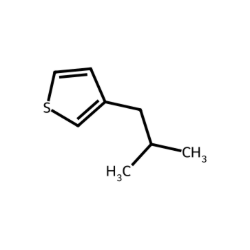 CC(C)Cc1ccsc1